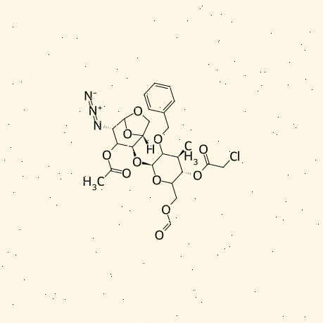 CC(=O)OC1[C@H](N=[N+]=[N-])C2OC[C@@H](O2)[C@H]1O[C@@H]1OC(COC=O)[C@@H](OC(=O)CCl)[C@H](C)C1OCc1ccccc1